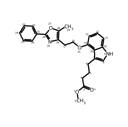 COC(=O)CCCc1c[nH]c2cccc(OCCc3nc(-c4ccccc4)oc3C)c12